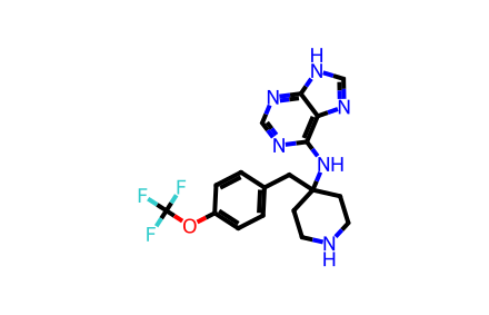 FC(F)(F)Oc1ccc(CC2(Nc3ncnc4[nH]cnc34)CCNCC2)cc1